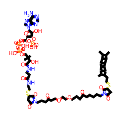 CC1C(C)C2C1C1C2C2C3C(CCSC4CC(=O)N(CCCCCC(=O)CCCOCCOCCC(=O)CCCN5C(=O)CC(SCCNC(=O)CCNC(=O)[C@H](O)C(C)(C)COP(=O)(O)OP(=O)(O)OC[C@H]6O[C@@H](n7cnc8c(N)ncnc87)[C@@H](O)C6OP(=O)(O)O)C5=O)C4=O)C(C)C3C12